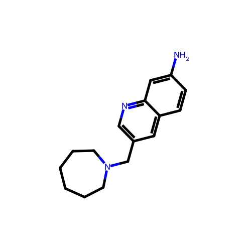 Nc1ccc2cc(CN3CCCCCC3)cnc2c1